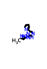 Cc1cc(Nc2cncc(-c3ccccn3)n2)[nH]n1